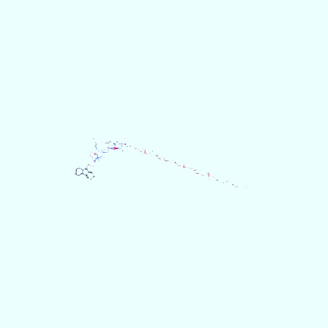 COCCOCCOCCOCCOCCOCCOCCOCCOCCOCCOCCOCCC(=O)N1C[C@@H]2C[C@H]1CN2C(=O)CCC[C@H](NC(=O)OCC1c2ccccc2-c2ccccc21)C(=O)NCCC(=O)O